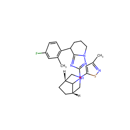 Cc1cc(N2C[C@H]3CC[C@@H](C2)C3Nc2nc3n(n2)CCCC3c2ccc(F)cc2C)sn1